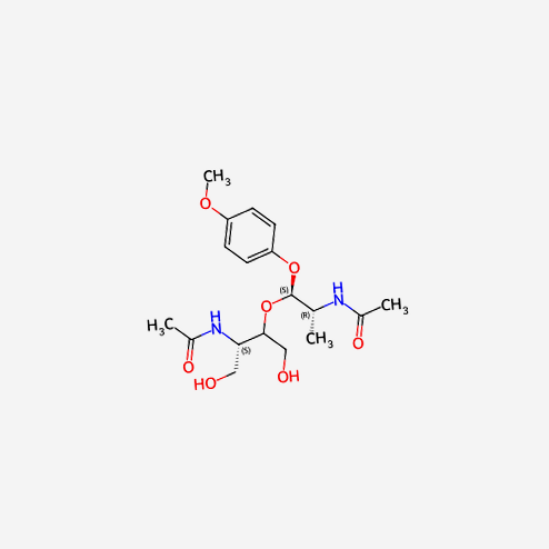 COc1ccc(O[C@H](OC(CO)[C@H](CO)NC(C)=O)[C@@H](C)NC(C)=O)cc1